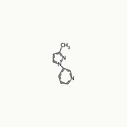 Cc1ccn(-c2cccnc2)n1